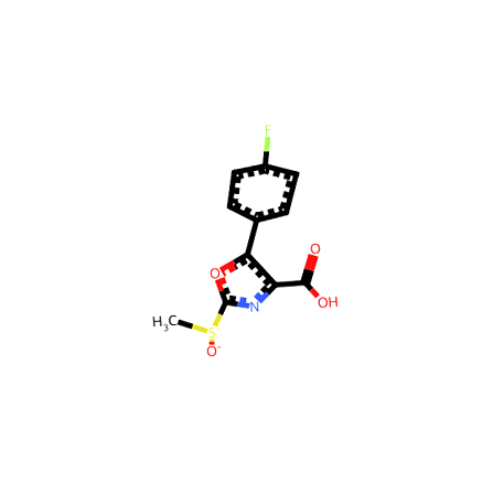 C[S+]([O-])c1nc(C(=O)O)c(-c2ccc(F)cc2)o1